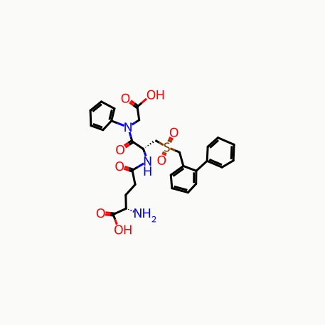 N[C@@H](CCC(=O)N[C@@H](CS(=O)(=O)Cc1ccccc1-c1ccccc1)C(=O)N(CC(=O)O)c1ccccc1)C(=O)O